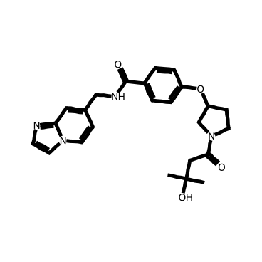 CC(C)(O)CC(=O)N1CCC(Oc2ccc(C(=O)NCc3ccn4ccnc4c3)cc2)C1